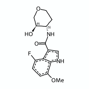 COc1ccc(F)c2c(C(=O)N[C@H]3CCOC[C@@H]3O)c[nH]c12